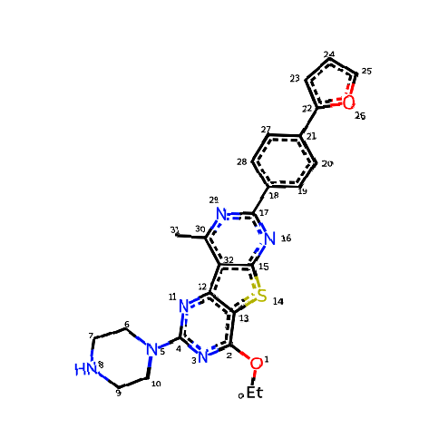 CCOc1nc(N2CCNCC2)nc2c1sc1nc(-c3ccc(-c4ccco4)cc3)nc(C)c12